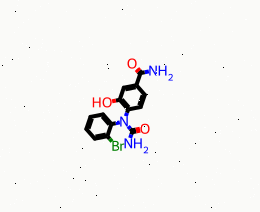 NC(=O)c1ccc(N(C(N)=O)c2ccccc2Br)c(O)c1